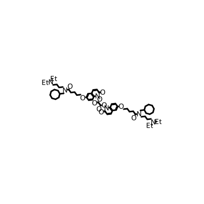 CCN(CC)CCCCN(CC1CCCCCCC1)C(=O)CCCCOc1ccc2c(ccc(=O)n2OC(=O)C(=O)On2c(=O)ccc3cc(OCCCCC(=O)N(CCCCN(CC)CC)CC4CCCCCCC4)ccc32)c1